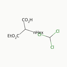 CCCCCCC(C(=O)O)C(=O)OCC.ClC(Cl)Cl